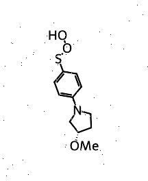 CO[C@H]1CCN(c2ccc(SOO)cc2)C1